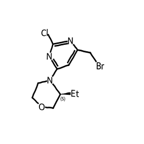 CC[C@H]1COCCN1c1cc(CBr)nc(Cl)n1